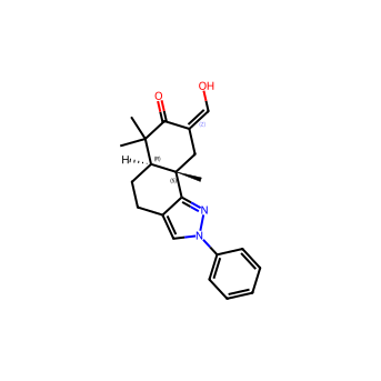 CC1(C)C(=O)/C(=C\O)C[C@]2(C)c3nn(-c4ccccc4)cc3CC[C@@H]12